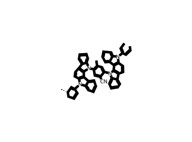 C/C=C\C(=C/C)n1c2ccccc2c2c1ccc1c3ccccc3n(-c3cc(C)c(-n4c5ccccc5c5ccc6c(c7ccccc7n6C6=C[C@@H](C)CC=C6)c54)cc3C#N)c12